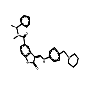 C[C@@H](c1ccccc1)N(C)C(=O)c1ccc2c(c1)/C(=C/Nc1ccc(CN3CCCCC3)cc1)C(=O)N2